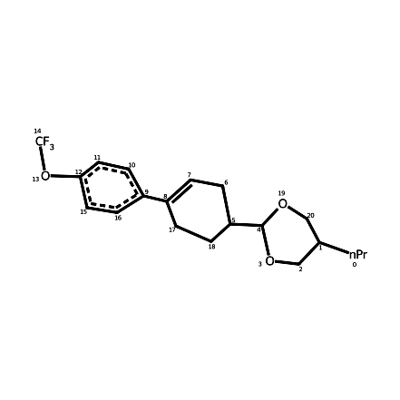 CCCC1COC(C2CC=C(c3ccc(OC(F)(F)F)cc3)CC2)OC1